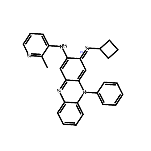 Cc1ncccc1Nc1cc2nc3ccccc3n(-c3ccccc3)c-2c/c1=N\C1CCC1